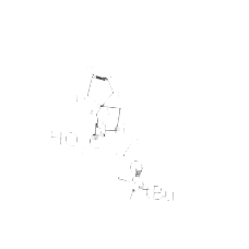 CC(C)(C)[Si](C)(C)OCC[C@H]1CC2(CC=CC2)CN1C(=O)O